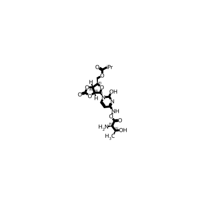 CC(C)C(=O)OC[C@H]1O[C@@H](N2C=CC(NOC(=O)[C@H](N)[C@H](C)O)=NC2O)[C@@H]2OC(=O)O[C@@H]21